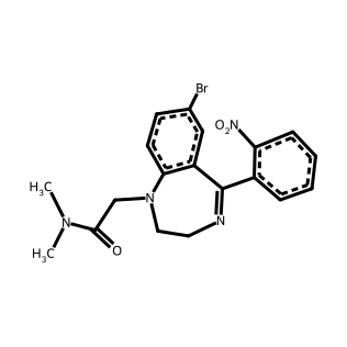 CN(C)C(=O)CN1CCN=C(c2ccccc2[N+](=O)[O-])c2cc(Br)ccc21